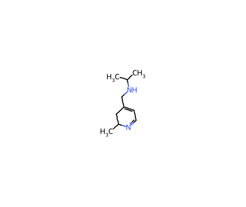 CC1CC(CNC(C)C)=CC=N1